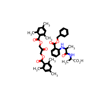 CC(Nc1ccccc1C(=O)OCc1ccccc1)C(=O)N[C@@H](C)C(=O)O.Cc1cc(C)c(C(=O)OCC(=O)COC(=O)c2c(C)cc(C)cc2C)c(C)c1